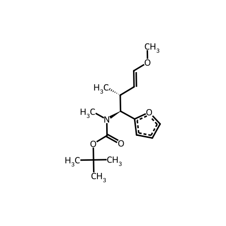 COC=C[C@@H](C)[C@@H](c1ccco1)N(C)C(=O)OC(C)(C)C